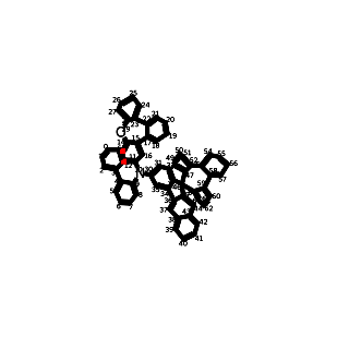 c1ccc(-c2ccccc2N(c2ccc3c(c2)-c2ccccc2-c2ccccc2O3)c2ccc3c(c2)-c2cc4ccccc4cc2C32c3ccccc3-c3ccccc3-c3ccccc32)cc1